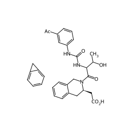 CC(=O)c1cccc(NC(=O)NC(C(=O)N2Cc3ccccc3C[C@@H]2CC(=O)O)C(C)O)c1.c1ccc2c(c1)C2